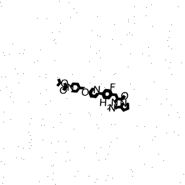 CC(C)OC(=O)N1CCC(COc2ccc(-c3ccc(CC(N)C(=O)N4CCCC4C#N)c(F)c3)nc2)CC1